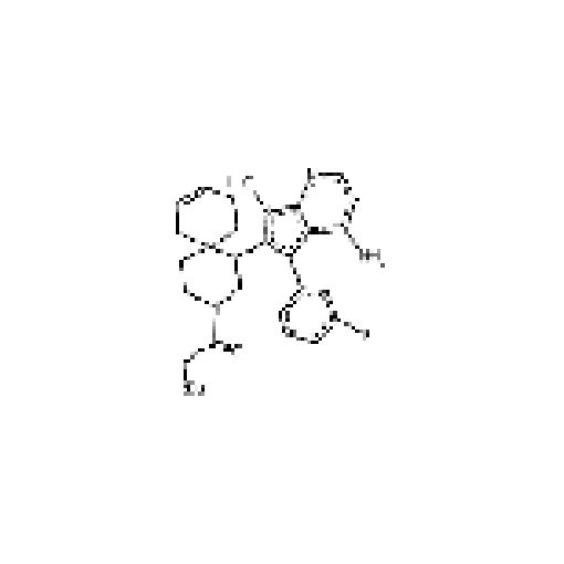 Cn1c(C2CN(C(=O)OC(C)(C)C)CCC23CC=CCC3)c(-c2cccc(F)c2)c2c(N)ncnc21